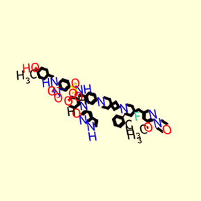 COc1cc(C[C@]2(F)CCN(C3CC4(CCN(c5ccc(C(=O)NS(=O)(=O)c6ccc(NCC7CCC(C)(O)CC7)c([N+](=O)[O-])c6)c(N6c7cc8cc[nH]c8nc7O[C@H]7COCC[C@@H]76)c5)CC4)C3)[C@H](c3ccccc3C)C2)cnc1N1CCOCC1